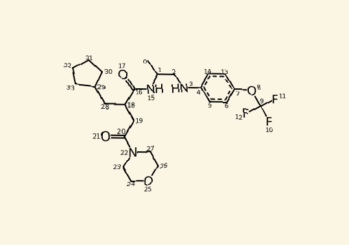 CC(CNc1ccc(OC(F)(F)F)cc1)NC(=O)C(CC(=O)N1CCOCC1)CC1CCCC1